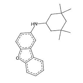 CC1(C)CC(Nc2ccc3oc4ccccc4c3c2)CC(C)(C)C1